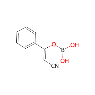 N#CC=C(OB(O)O)c1ccccc1